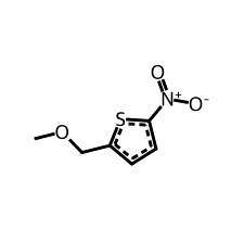 COCc1ccc([N+](=O)[O-])s1